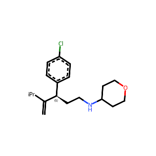 C=C(C(C)C)[C@H](CCNC1CCOCC1)c1ccc(Cl)cc1